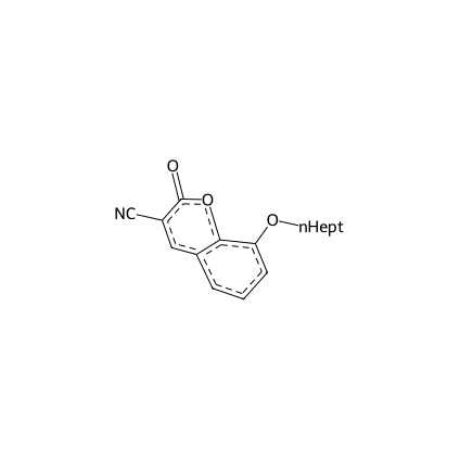 CCCCCCCOc1cccc2cc(C#N)c(=O)oc12